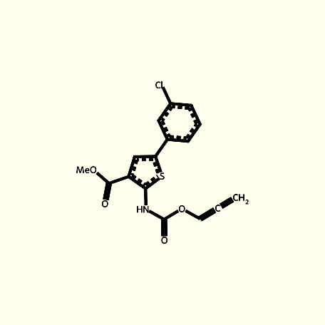 C=C=COC(=O)Nc1sc(-c2cccc(Cl)c2)cc1C(=O)OC